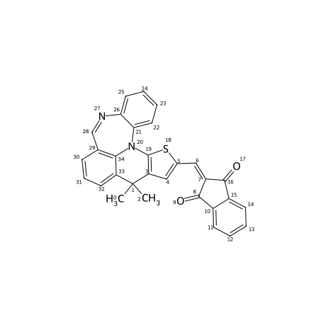 CC1(C)c2cc(C=C3C(=O)c4ccccc4C3=O)sc2N2c3ccccc3N=Cc3cccc1c32